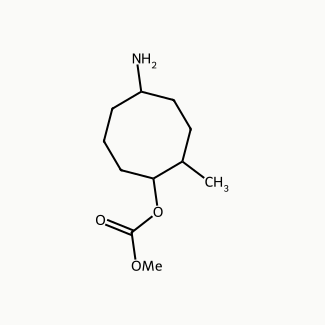 COC(=O)OC1CCCC(N)CCC1C